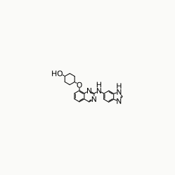 O[C@H]1CC[C@@H](Oc2cccc3cnc(Nc4ccc5nc[nH]c5c4)nc23)CC1